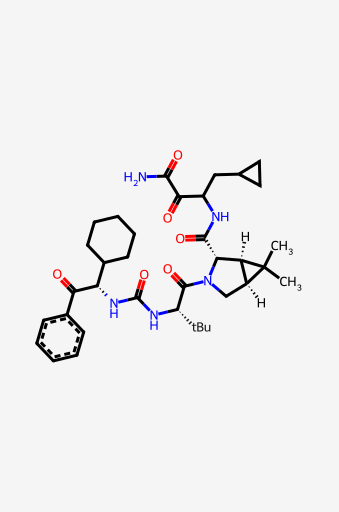 CC(C)(C)[C@H](NC(=O)N[C@H](C(=O)c1ccccc1)C1CCCCC1)C(=O)N1C[C@H]2[C@@H]([C@H]1C(=O)NC(CC1CC1)C(=O)C(N)=O)C2(C)C